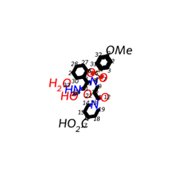 COc1ccc(S(=O)(=O)N(CCC(=O)N2CCC(C(=O)O)CC2)C(C(=O)NO)C2CCCCC2)cc1.O